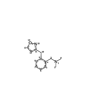 CN(C)Cc1ccccc1Cc1[c]con1